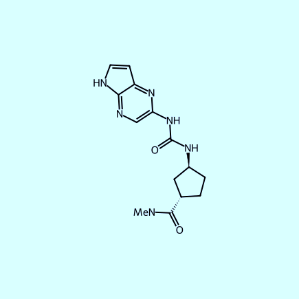 CNC(=O)[C@H]1CC[C@H](NC(=O)Nc2cnc3[nH]ccc3n2)C1